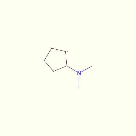 CN(C)C1[CH]CCC1